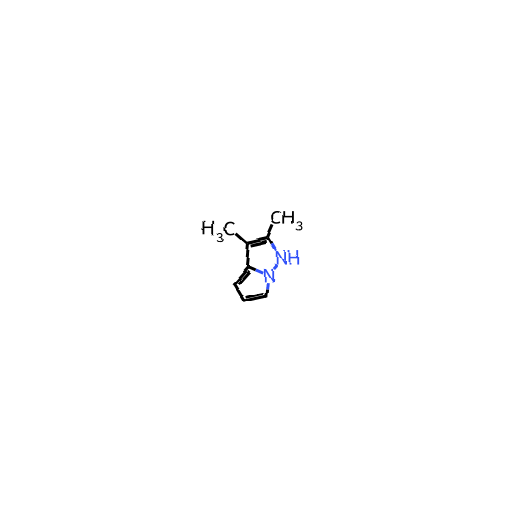 Cc1[nH]n2cccc2c1C